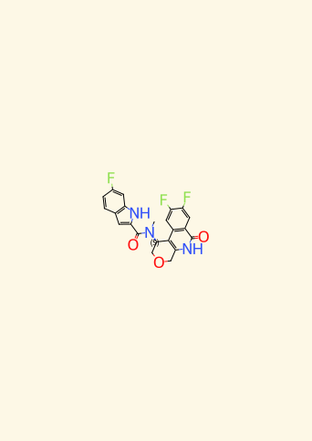 CN(C(=O)c1cc2ccc(F)cc2[nH]1)[C@@H]1COCc2[nH]c(=O)c3cc(F)c(F)cc3c21